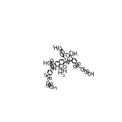 Nc1c(/N=N/c2ccc(S(=O)(=O)CCOS(=O)(=O)O)cc2)c(S(=O)(=O)O)cc2cc(SOOO)c(/N=N/c3cc(S(=O)(=O)CCOSOOO)ccc3C(=O)O)c(O)c12